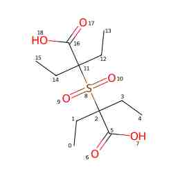 CCC(CC)(C(=O)O)S(=O)(=O)C(CC)(CC)C(=O)O